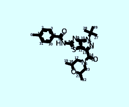 Cc1ccc(C(=O)Nc2nc3c(s2)c(C(=O)N2CC(C)OC(C)C2)nn3C(C)(C)C)cc1